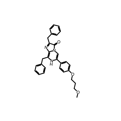 COCCCOc1ccc(-c2cn3c(=O)c(Cc4ccccc4)nc-3c(Cc3ccccc3)[nH]2)cc1